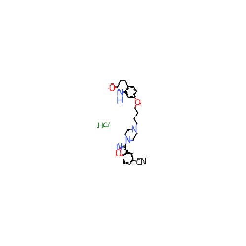 Cl.N#Cc1ccc2onc(N3CCN(CCCCOc4ccc5c(c4)NC(=O)CC5)CC3)c2c1